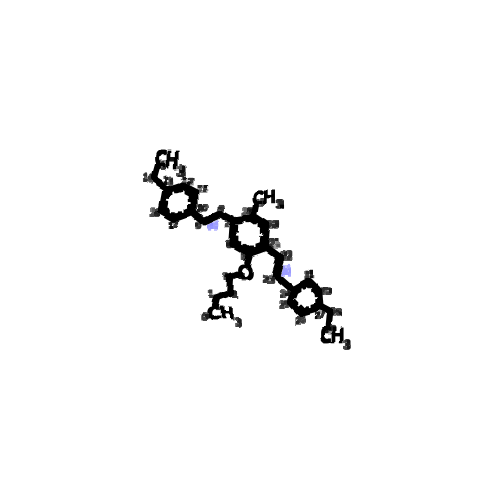 CCCCOc1cc(/C=C/c2ccc(CC)cc2)c(C)cc1/C=C/c1ccc(CC)cc1